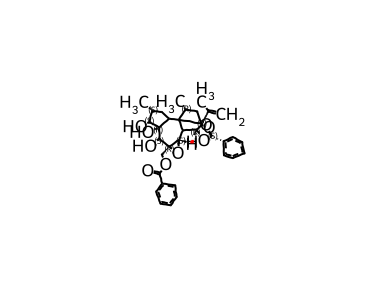 C=C(C)[C@]12C[C@@H](C)C34O[C@](c5ccccc5)(O[C@@H]1C3[C@@H]1O[C@]1(COC(=O)c1ccccc1)[C@@H](O)[C@@]1(O)C4C[C@H](C)[C@@H]1O)O2